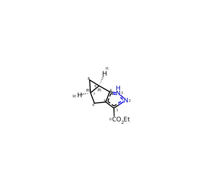 CCOC(=O)c1n[nH]c2c1C[C@H]1C[C@@H]21